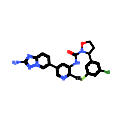 Cc1ncc(-c2ccc3nc(N)nn3c2)cc1NC(=O)N1OCCC1c1cc(F)cc(Cl)c1